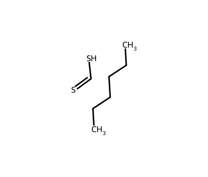 CCCCCC.S=CS